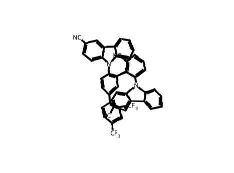 N#Cc1ccc2c(c1)c1ccccc1n2-c1ccc(-c2ccc(C(F)(F)F)cc2C(F)(F)F)cc1-c1c(C#N)cccc1-n1c2ccccc2c2cc(C#N)ccc21